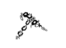 CC(C)N1CCN(C2CCN(C3CCN(c4c(S(=O)(=O)c5cc(F)c(OC(C)(C)CC(C)(C)C)c(F)c5)cnc5ccc([S+](C)[O-])cc45)CC3)CC2)CC1